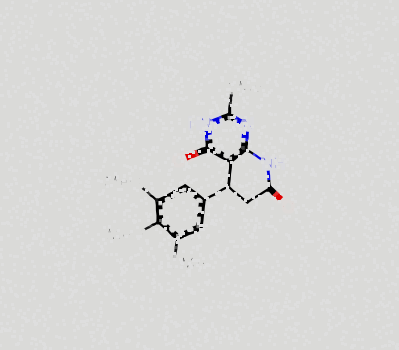 COc1cc(C2CC(=O)Nc3nc(SC)[nH]c(=O)c32)cc(OC)c1OC